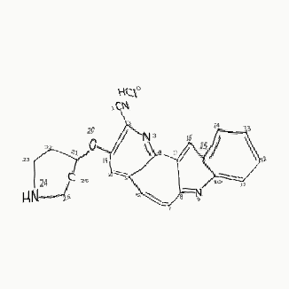 Cl.N#Cc1nc2c(ccc3nc4ccccc4cc32)cc1OC1CCNCC1